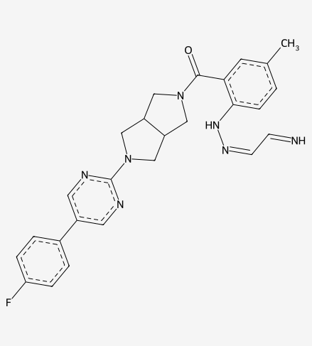 Cc1ccc(N/N=C\C=N)c(C(=O)N2CC3CN(c4ncc(-c5ccc(F)cc5)cn4)CC3C2)c1